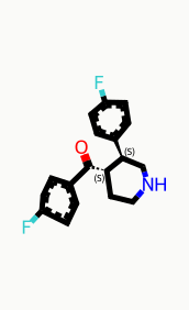 O=C(c1ccc(F)cc1)[C@H]1CCNC[C@@H]1c1ccc(F)cc1